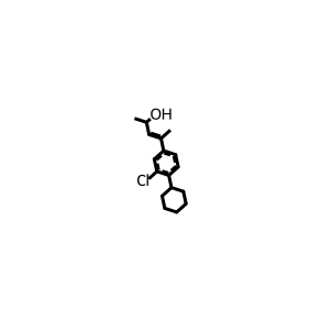 CC(=CC(C)O)c1ccc(C2CCCCC2)c(Cl)c1